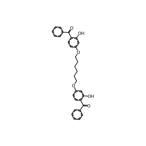 O=C(c1ccccc1)c1ccc(OCCCCCCOc2ccc(C(=O)c3ccccc3)c(O)c2)cc1O